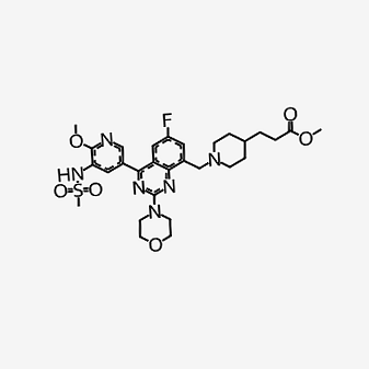 COC(=O)CCC1CCN(Cc2cc(F)cc3c(-c4cnc(OC)c(NS(C)(=O)=O)c4)nc(N4CCOCC4)nc23)CC1